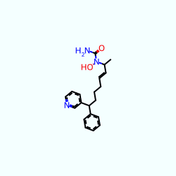 CC(C=CCCCC(c1ccccc1)c1cccnc1)N(O)C(N)=O